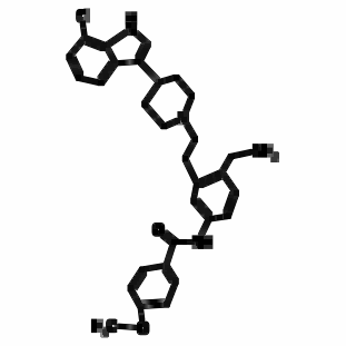 COc1ccc(C(=O)Nc2ccc(CN)c(CCN3CCC(c4c[nH]c5c(Cl)cccc45)CC3)c2)cc1